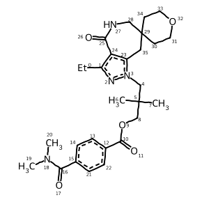 CCc1nn(CC(C)(C)COC(=O)c2ccc(C(=O)N(C)C)cc2)c2c1C(=O)NCC1(CCOCC1)C2